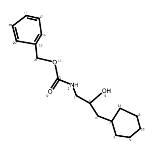 O=C(NCC(O)CC1CCCCC1)OCc1ccccc1